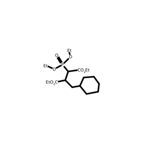 CCOC(=O)C(CC1CCCCC1)C(C(=O)OCC)P(=O)(OCC)OCC